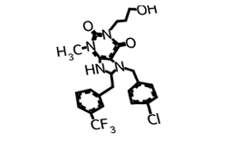 Cn1c2c(c(=O)n(CCCO)c1=O)N(Cc1ccc(Cl)cc1)C(Cc1cccc(C(F)(F)F)c1)N2